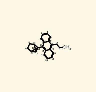 [SiH3]CCc1c2ccccc2c(C2=CC3CCC2C3)c2ccccc12